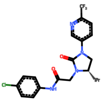 CC(C)[C@H]1CN(c2ccc(C(F)(F)F)nc2)C(=O)N1CC(=O)Nc1ccc(Cl)cc1